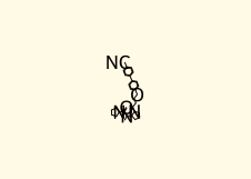 CN(C(=O)N1CCCC1)C1CCCN1CCCOc1ccc(-c2ccc(C#N)cc2)cc1